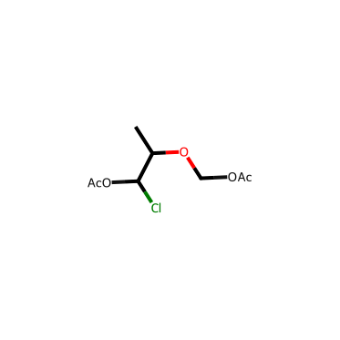 CC(=O)OCOC(C)C(Cl)OC(C)=O